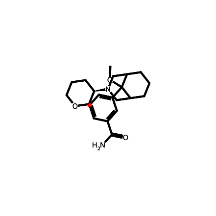 COC1(c2cccc(C(N)=O)c2)C2CCCC1CN([C@@H]1CCCOC1)C2